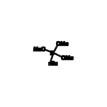 [CH2]CCC[Si](OC)(OC)OC